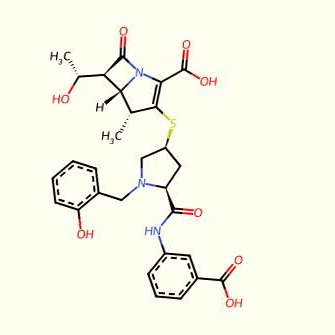 C[C@@H](O)[C@H]1C(=O)N2C(C(=O)O)=C(S[C@H]3C[C@@H](C(=O)Nc4cccc(C(=O)O)c4)N(Cc4ccccc4O)C3)[C@H](C)[C@H]12